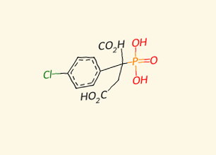 O=C(O)CC(C(=O)O)(c1ccc(Cl)cc1)P(=O)(O)O